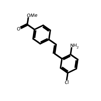 COC(=O)c1ccc(/C=C/c2cc(Cl)ccc2N)cc1